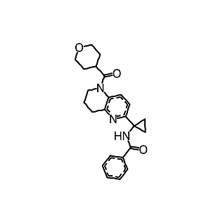 O=C(NC1(c2ccc3c(n2)CCCN3C(=O)C2CCOCC2)CC1)c1ccccc1